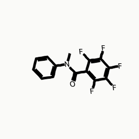 CN(C(=O)c1c(F)c(F)c(F)c(F)c1F)c1ccccc1